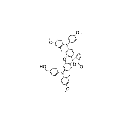 COc1ccc(N(c2ccc3c(c2)Oc2cc(N(c4ccc(CO)cc4)c4ccc(OC)cc4C)ccc2C32OC(=O)c3ccccc32)c2ccc(OC)cc2C)cc1